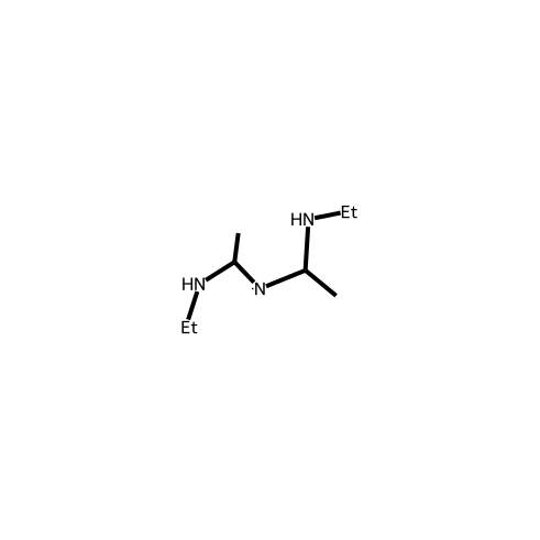 CCNC(C)[N]C(C)NCC